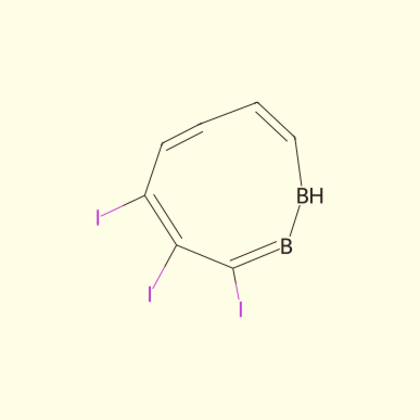 IC1=BBC=CC=CC(I)=C1I